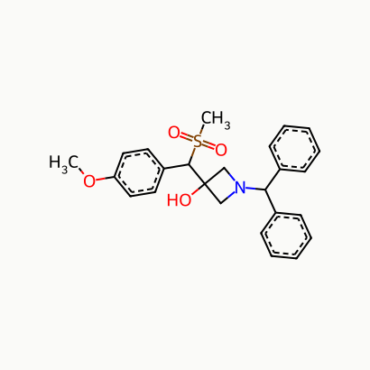 COc1ccc(C(C2(O)CN(C(c3ccccc3)c3ccccc3)C2)S(C)(=O)=O)cc1